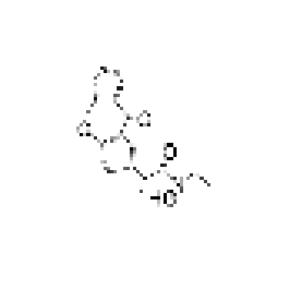 CCN(O)C(=O)C(C)c1ccc2c(c1)C(=O)c1ccccc1CO2